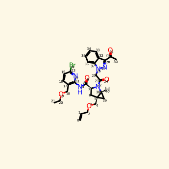 C=CCOC[C@@]12C[C@@H](C(=O)Nc3nc(Br)ccc3COCC)N(C(=O)Cn3nc(C(C)=O)c4ccccc43)[C@@H]1C2